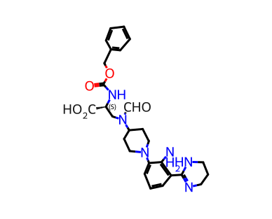 Nc1c(C2=NCCCN2)cccc1N1CCC(N(C=O)C[C@H](NC(=O)OCc2ccccc2)C(=O)O)CC1